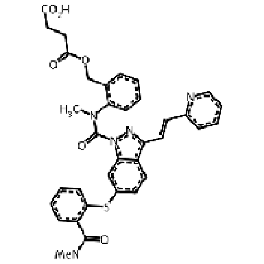 CNC(=O)c1ccccc1Sc1ccc2c(/C=C/c3ccccn3)nn(C(=O)N(C)c3ccccc3COC(=O)CCC(=O)O)c2c1